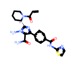 C=CC(=O)N1CCCC[C@H]1c1nc(-c2ccc(C(=O)Nc3nccs3)cc2)c(C(N)=O)n1N